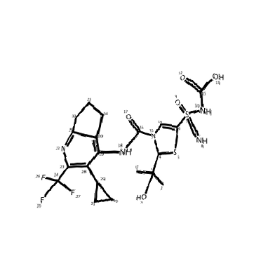 CC(C)(O)C1SC(S(=N)(=O)NC(=O)O)=CN1C(=O)Nc1c2c(nc(C(F)(F)F)c1C1CC1)CCC2